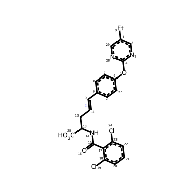 CCc1cnc(Oc2ccc(/C=C/CC(NC(=O)c3c(Cl)cccc3Cl)C(=O)O)cc2)nc1